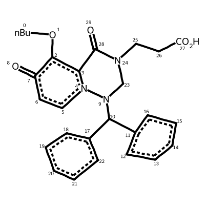 CCCCOc1c2n(ccc1=O)N(C(c1ccccc1)c1ccccc1)CN(CCC(=O)O)C2=O